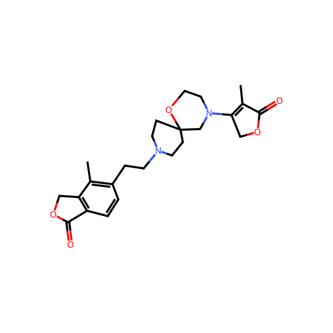 CC1=C(N2CCOC3(CCN(CCc4ccc5c(c4C)COC5=O)CC3)C2)COC1=O